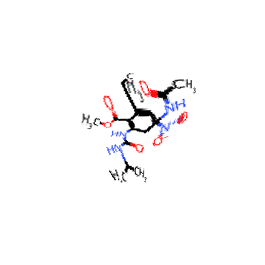 CCC1=CC(NC(C)=O)([N+](=O)[O-])CC(NC(=O)NC(C)C)=C1C(=O)OC